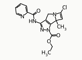 CCOC(=O)n1nc(NC(=O)c2ccccn2)c2c1C1(C)C=C(Cl)N1C2